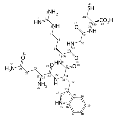 N=C(N)NCCC[C@H](NC(=O)[C@H](Cc1c[nH]c2ccccc12)NC(=O)[C@@H](N)CCC(N)=O)C(=O)NCC(=O)N[C@@H](CS)C(=O)O